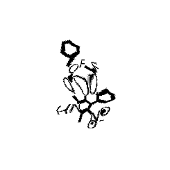 CC1=C(OC(=O)OCc2ccccc2)C(c2ccccc2OC(F)F)C([N+](=O)[O-])=C(C)N1